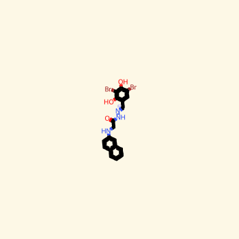 O=C(CNc1ccc2ccccc2c1)N/N=C/c1cc(Br)c(O)c(Br)c1O